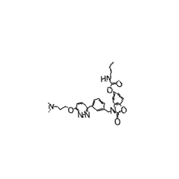 CCCNC(=O)Oc1ccc2oc(=O)n(Cc3cccc(-c4ccc(OCCCN(C)C)nn4)c3)c2c1